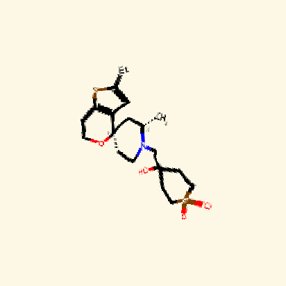 CCc1cc2c(s1)CCO[C@@]21CCN(CC2(O)CCS(=O)(=O)CC2)[C@@H](C)C1